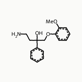 COc1ccccc1OCC(O)(CCN)c1ccccc1